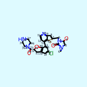 CN1CC(=O)N(Cc2cc3nccc(-c4cc(Cl)cc5c4O[C@@H](C(=O)N4CCNCC4)C5)c3s2)C1=O